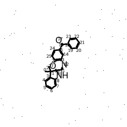 CC1(C)c2ccccc2NC12C=Nc1cc(C(=O)c3ccccc3)ccc1O2